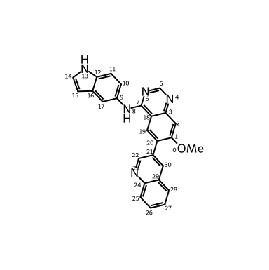 COc1cc2ncnc(Nc3ccc4[nH]ccc4c3)c2cc1-c1cnc2ccccc2c1